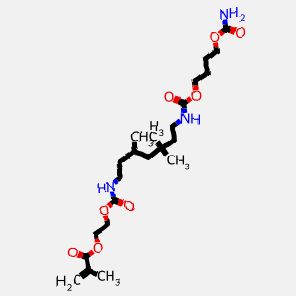 C=C(C)C(=O)OCCOC(=O)NCCC(C)CC(C)(C)CCNC(=O)OCCCCOC(N)=O